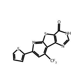 O=c1[nH]cnc2c1sc1nc(-c3cccs3)cc(C(F)(F)F)c12